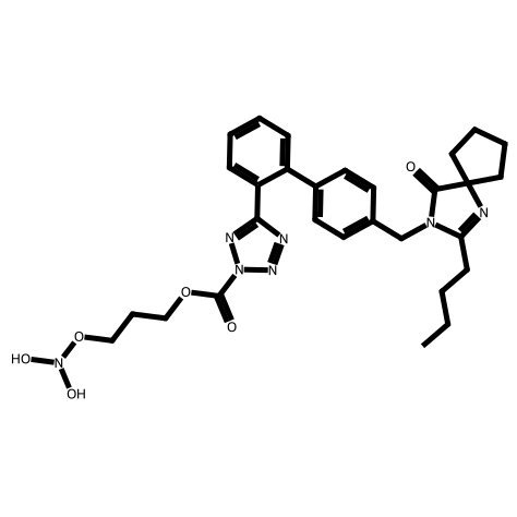 CCCCC1=NC2(CCCC2)C(=O)N1Cc1ccc(-c2ccccc2-c2nnn(C(=O)OCCCON(O)O)n2)cc1